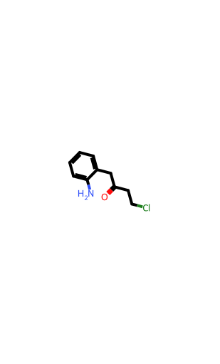 Nc1ccccc1CC(=O)CCCl